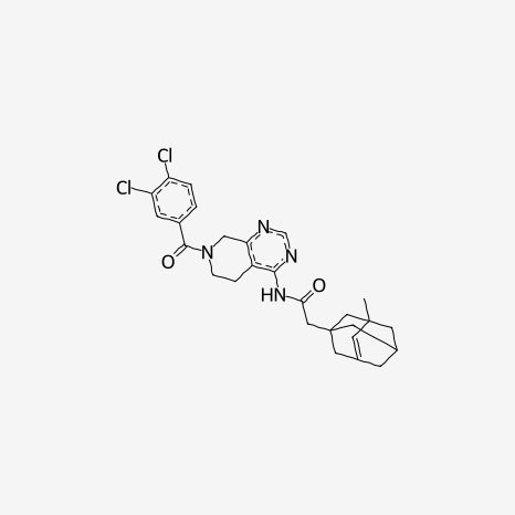 CC12C=C3CC(C1)CC(CC(=O)Nc1ncnc4c1CCN(C(=O)c1ccc(Cl)c(Cl)c1)C4)(C3)C2